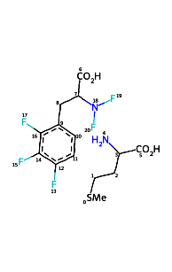 CSCCC(N)C(=O)O.O=C(O)C(Cc1ccc(F)c(F)c1F)N(F)F